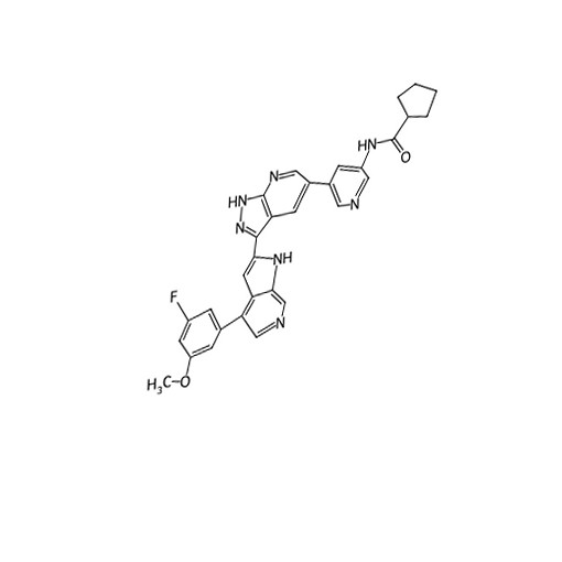 COc1cc(F)cc(-c2cncc3[nH]c(-c4n[nH]c5ncc(-c6cncc(NC(=O)C7CCCC7)c6)cc45)cc23)c1